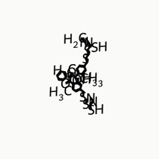 C=N/N=C(/S)SCSCc1cc(C)c(C(O)P(=O)(C(=O)c2c(C)cc(CSc3nnc(S)s3)cc2C)c2ccccc2)c(C)c1